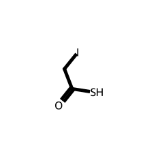 O=C(S)CI